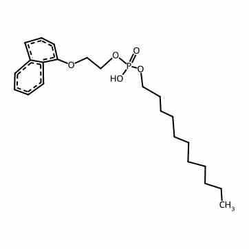 CCCCCCCCCCCOP(=O)(O)OCCOc1cccc2ccccc12